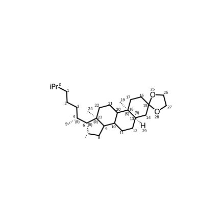 CC(C)CCC[C@@H](C)[C@H]1CCC2C3CC[C@@H]4CC5(CC[C@]4(C)C3CC[C@@]21C)OCCO5